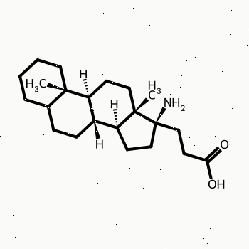 C[C@]12CCCCC1CC[C@@H]1[C@@H]2CC[C@@]2(C)[C@H]1CC[C@@]2(N)CCC(=O)O